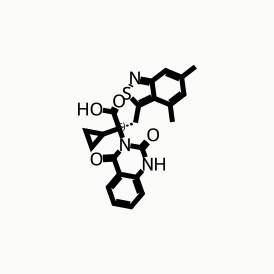 Cc1cc(C)c2c(C[C@@](C(=O)O)(C3CC3)n3c(=O)[nH]c4ccccc4c3=O)snc2c1